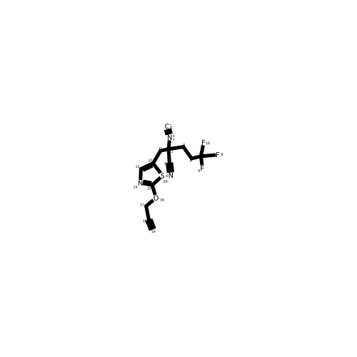 [C-]#[N+]C(C#N)(CCC(F)(F)F)Cc1cnc(OCC#C)s1